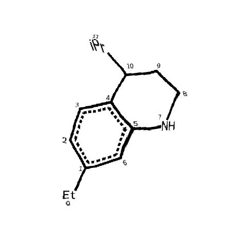 CCc1ccc2c(c1)NCCC2C(C)C